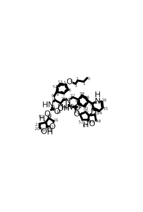 CCCCOc1ccc(C[C@H](NC(=O)O[C@H]2CO[C@H]3OCC[C@H]32)[C@@H](O)CN(Cc2ccc(C3C=CC=CN3)cc2)NC(=O)O[C@@H]2C[C@@H]3CCO[C@@H]3C2)cc1